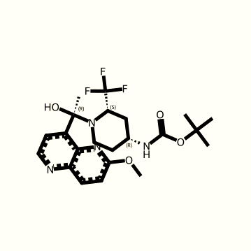 COc1ccc2nccc([C@@](C)(O)N3CC[C@@H](NC(=O)OC(C)(C)C)C[C@H]3C(F)(F)F)c2n1